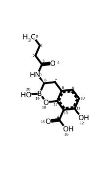 CCCC(=O)N[C@H]1Cc2ccc(O)c(C(=O)O)c2OB1O